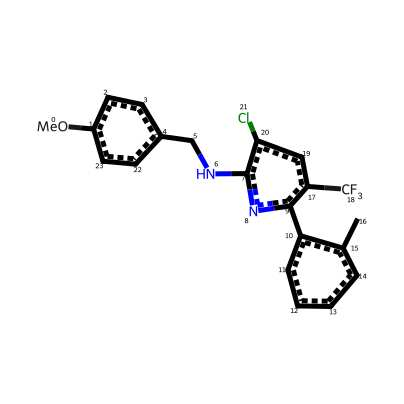 COc1ccc(CNc2nc(-c3ccccc3C)c(C(F)(F)F)cc2Cl)cc1